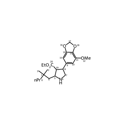 CCCC(C)(C)CC1NCC(c2cc(OC)c3c(c2)OCO3)C1C(=O)OCC